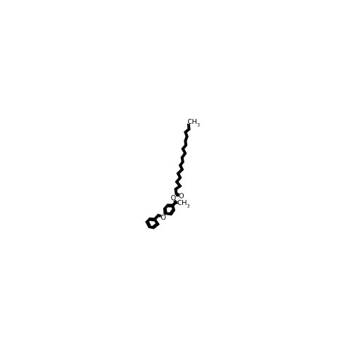 CCCCCCCCCCCCCCCCCCC(=O)OC(C)c1ccc(OCc2ccccc2)cc1